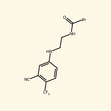 CC(C)C(=O)NCCNc1ccc(C(F)(F)F)c(C#N)c1